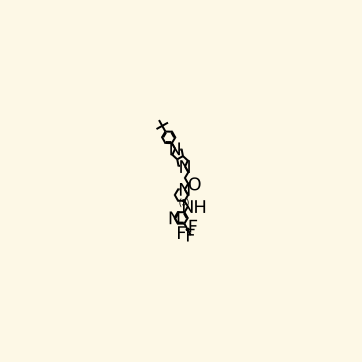 CC(C)(C)c1ccc(N2CC3CN(CCC(=O)N4CCC[C@H](Nc5cncc(C(F)(F)F)c5)C4)CC3C2)cc1